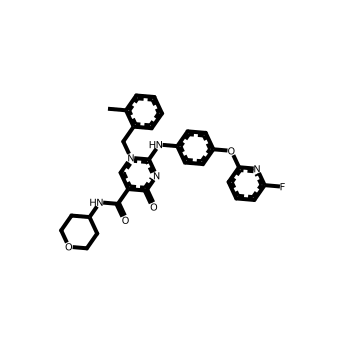 Cc1ccccc1Cn1cc(C(=O)NC2CCOCC2)c(=O)nc1Nc1ccc(Oc2cccc(F)n2)cc1